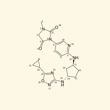 CN1CC(=O)N(c2ccc(N[C@H]3CC[C@H](Nc4noc(C5CC5)n4)C3)nc2)C1=O